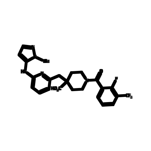 CC(C)(C)n1nccc1Nc1cccc(CC2(C(=O)O)CCN(C(=O)c3cccc(C(F)(F)F)c3F)CC2)n1